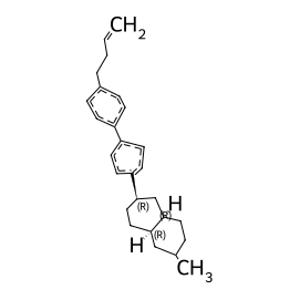 C=CCCc1ccc(-c2ccc([C@@H]3CC[C@@H]4CC(C)CC[C@@H]4C3)cc2)cc1